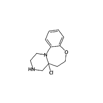 ClC12CCOc3ccccc3N1CCNC2